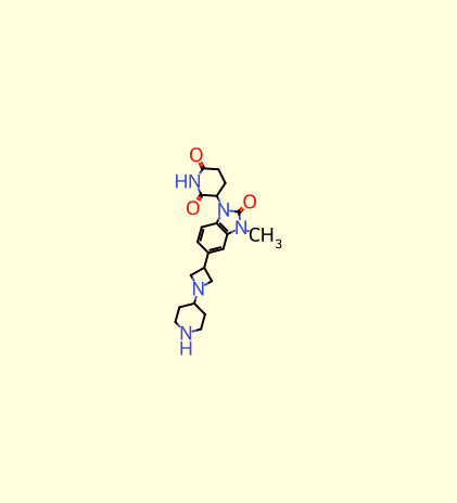 Cn1c(=O)n(C2CCC(=O)NC2=O)c2ccc(C3CN(C4CCNCC4)C3)cc21